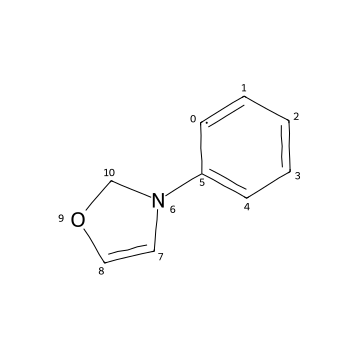 [c]1ccccc1N1C=COC1